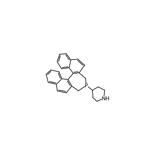 c1ccc2c3c(ccc2c1)CP(C1CCNCC1)Cc1ccc2ccccc2c1-3